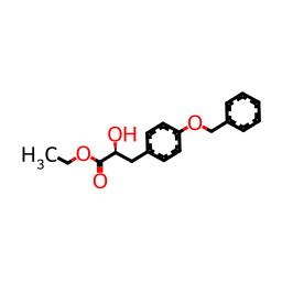 CCOC(=O)[C@@H](O)Cc1ccc(OCc2ccccc2)cc1